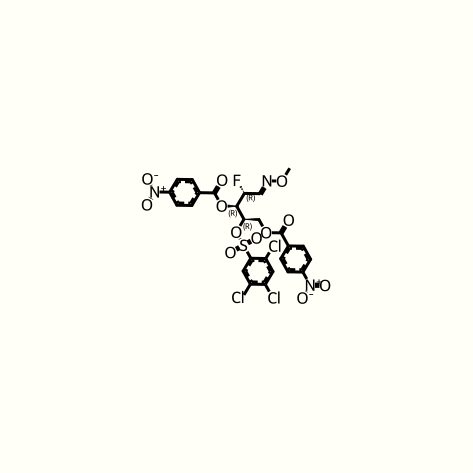 CON=C[C@@H](F)[C@H](OC(=O)c1ccc([N+](=O)[O-])cc1)[C@@H](COC(=O)c1ccc([N+](=O)[O-])cc1)OS(=O)(=O)c1cc(Cl)c(Cl)cc1Cl